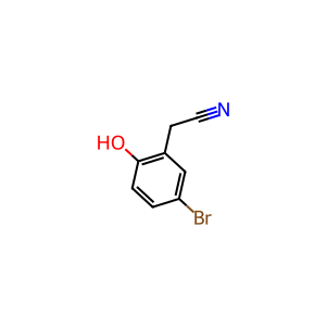 N#CCc1cc(Br)ccc1O